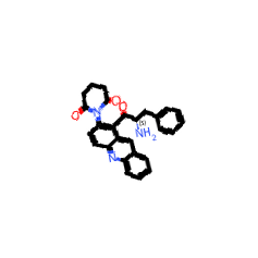 N[C@@H](Cc1ccccc1)C(=O)c1c(N2C(=O)CCCC2=O)ccc2nc3ccccc3cc12